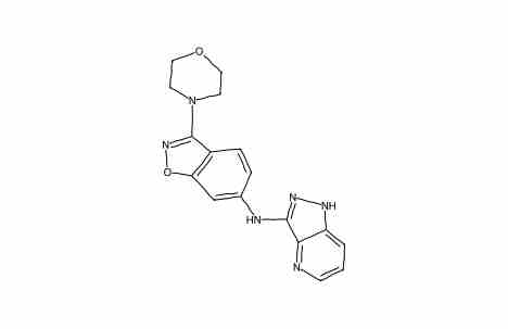 c1cnc2c(Nc3ccc4c(N5CCOCC5)noc4c3)n[nH]c2c1